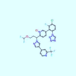 [O-][n+]1cc(-c2c(-n3cnnn3)ccc(Cl)c2F)ccc1C(CCOC(F)F)n1cc(-c2ccnc(C(F)(F)F)c2)cn1